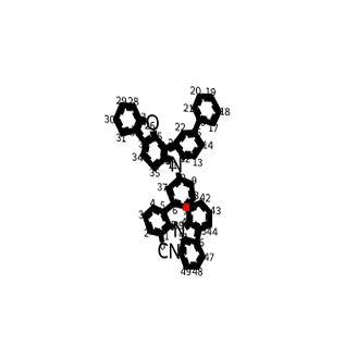 N#Cc1cccc(-c2cccc(-n3c4ccc(-c5ccccc5)cc4c4c5oc6ccccc6c5ccc43)c2)c1-n1c2ccccc2c2ccccc21